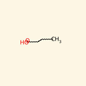 CCCCCCCCCCCC#CC#CCCCCCCCCCC(=O)O